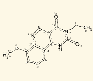 CCn1c(=O)[nH]c2c(cnc3c(OC)cccc32)c1=O